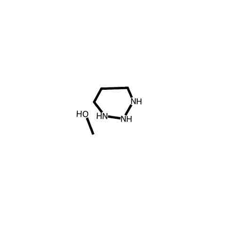 C1CNNNC1.CO